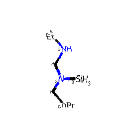 CCCCN([SiH3])CNCC